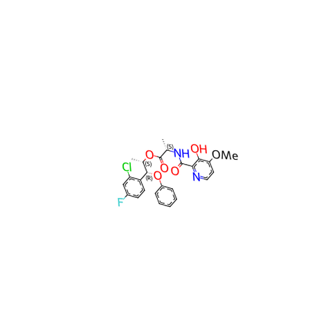 COc1ccnc(C(=O)N[C@@H](C)C(=O)O[C@@H](C)[C@H](Oc2ccccc2)c2ccc(F)cc2Cl)c1O